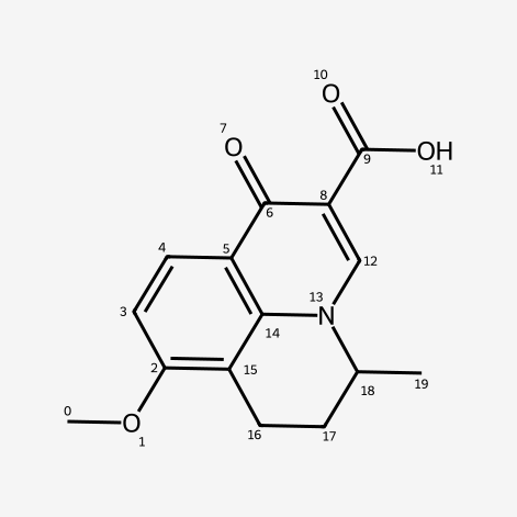 COc1ccc2c(=O)c(C(=O)O)cn3c2c1CCC3C